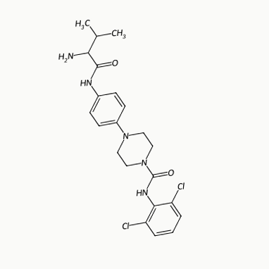 CC(C)C(N)C(=O)Nc1ccc(N2CCN(C(=O)Nc3c(Cl)cccc3Cl)CC2)cc1